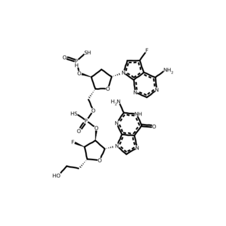 Nc1nc2c(ncn2[C@@H]2O[C@H](CCO)[C@@H](F)[C@H]2OP(=O)(S)OC[C@H]2O[C@@H](n3cc(F)c4c(N)ncnc43)C[C@@H]2O[PH](=O)S)c(=O)[nH]1